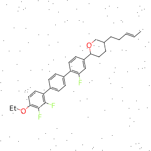 C/C=C/CCC1CCC(c2ccc(-c3ccc(-c4ccc(OCC)c(F)c4F)cc3)c(F)c2)OC1